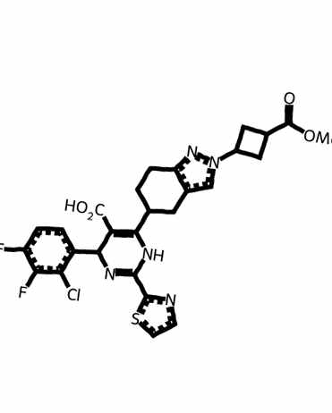 COC(=O)C1CC(n2cc3c(n2)CCC(C2=C(C(=O)O)C(c4ccc(F)c(F)c4Cl)N=C(c4nccs4)N2)C3)C1